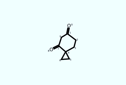 O=C1CCC2(CC2)C(=O)C1